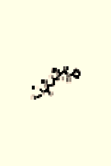 CC(C)CN(O)C(=O)[C@@H](O)CC(=O)N[C@H](C(=O)NC1CCC1)C(C)(C)C